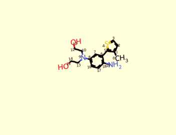 Cc1ccsc1-c1cc(N(CCO)CCO)ccc1N